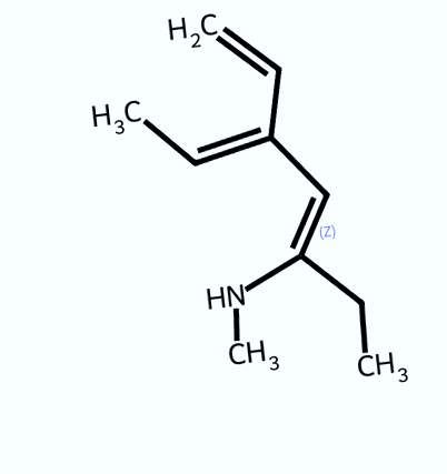 C=CC(=CC)/C=C(/CC)NC